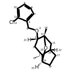 C[C@]12C[C@H](OCc3ccccc3Cl)[C@]3(C)C[C@@H]1CC[C@@H]2O3